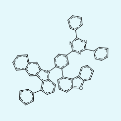 c1ccc(-c2nc(-c3ccccc3)nc(-c3ccc(-n4c5cc6ccccc6cc5c5c(-c6ccccc6)cccc54)c(-c4cccc5oc6ccccc6c45)c3)n2)cc1